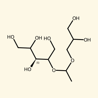 CC(OCC(O)CO)OC(CO)[C@@H](O)C(O)CO